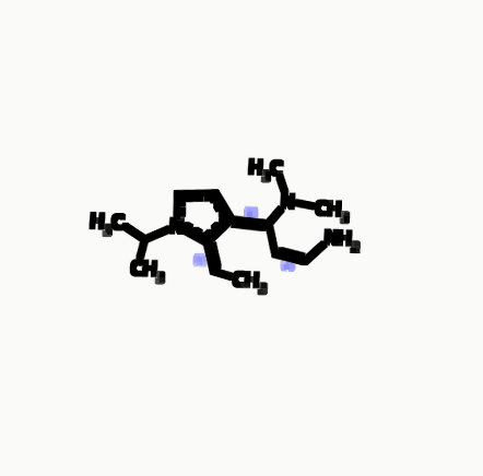 C\C=c1/c(=C(\C=C/N)N(C)C)ccn1C(C)C